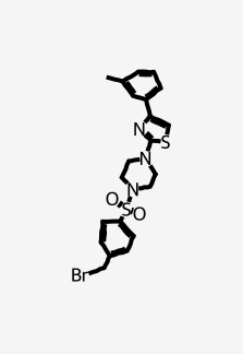 Cc1cccc(-c2csc(N3CCN(S(=O)(=O)c4ccc(CBr)cc4)CC3)n2)c1